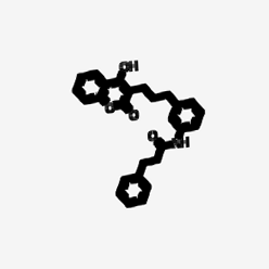 O=C(CCc1ccccc1)Nc1cccc(CCCc2c(O)c3ccccc3oc2=O)c1